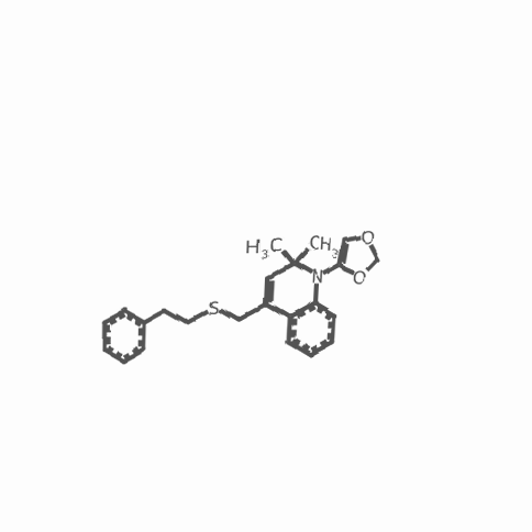 CC1(C)C=C(CSCCc2ccccc2)c2ccccc2N1C1=COCO1